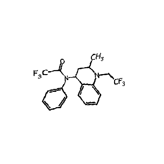 CC1CC(N(C(=O)C(F)(F)F)c2ccccc2)c2ccccc2N1CC(F)(F)F